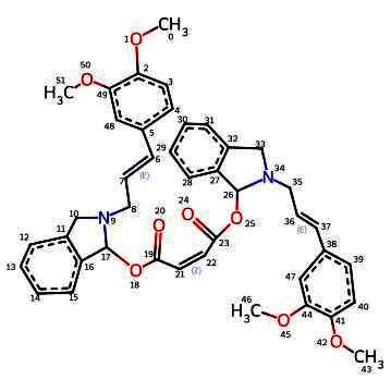 COc1ccc(/C=C/CN2Cc3ccccc3C2OC(=O)/C=C\C(=O)OC2c3ccccc3CN2C/C=C/c2ccc(OC)c(OC)c2)cc1OC